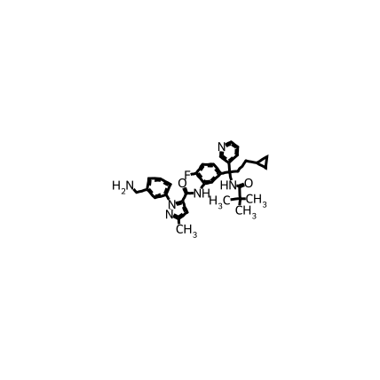 Cc1cc(C(=O)Nc2cc(C(CCC3CC3)(NC(=O)C(C)(C)C)c3cccnc3)ccc2F)n(-c2cccc(CN)c2)n1